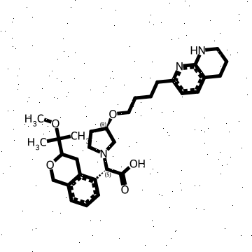 COC(C)(C)C1Cc2c(cccc2[C@@H](C(=O)O)N2CC[C@@H](OCCCCc3ccc4c(n3)NCCC4)C2)CO1